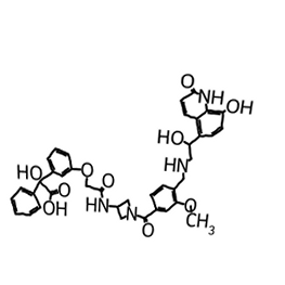 COc1cc(C(=O)N2CC(NC(=O)COc3cccc(C(O)(C(=O)O)c4ccccc4)c3)C2)ccc1CNCC(O)c1ccc(O)c2[nH]c(=O)ccc12